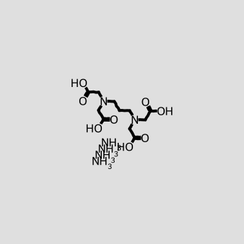 N.N.N.N.O=C(O)CN(CCCN(CC(=O)O)CC(=O)O)CC(=O)O